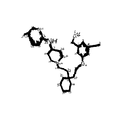 CC(=O)OCc1cc(C)cc(OCCC2(CCN3CCC(Nc4ccc(C)cn4)CC3)CCCCC2)c1